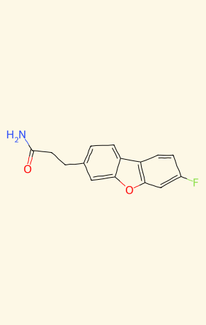 NC(=O)CCc1ccc2c(c1)oc1cc(F)ccc12